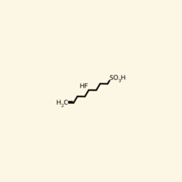 C=CCCCCCCS(=O)(=O)O.F